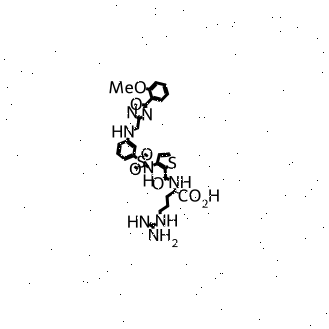 COc1ccccc1-c1nc(CNc2cccc(S(=O)(=O)Nc3ccsc3C(=O)N[C@@H](CCCNC(=N)N)C(=O)O)c2)no1